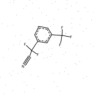 N#CC(F)(F)c1c[c]cc(C(F)(F)F)c1